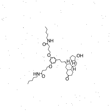 CCCCCNC(=O)CCCOc1cc(CCC[C@@H]2CC3CC(=O)CC[C@]3(C)[C@H]3CC[C@]4(C)[C@@H](O)CC[C@H]4[C@H]23)cc(OCCCC(=O)NCCCCC)c1